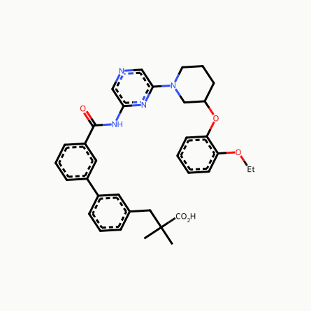 CCOc1ccccc1OC1CCCN(c2cncc(NC(=O)c3cccc(-c4cccc(CC(C)(C)C(=O)O)c4)c3)n2)C1